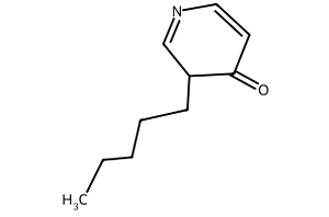 CCCCCC1C=NC=CC1=O